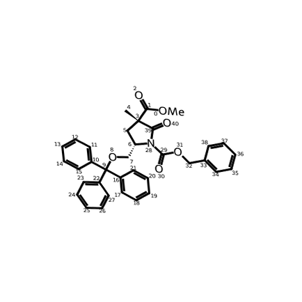 COC(=O)[C@@]1(C)C[C@@H](COC(c2ccccc2)(c2ccccc2)c2ccccc2)N(C(=O)OCc2ccccc2)C1=O